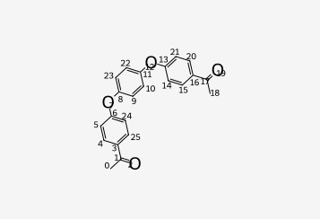 CC(=O)c1ccc(Oc2ccc(Oc3ccc(C(C)=O)cc3)cc2)cc1